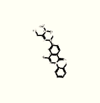 CCc1nn(-c2ccccc2C)c(=O)c2ccc(N(C)/N=C(/CO)N(C=O)CC)cc12